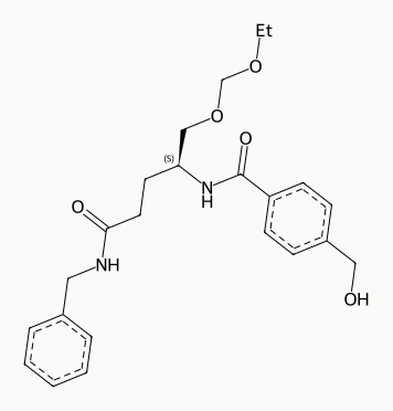 CCOCOC[C@H](CCC(=O)NCc1ccccc1)NC(=O)c1ccc(CO)cc1